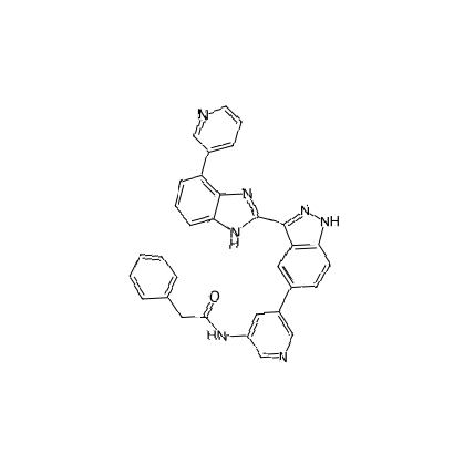 O=C(Cc1ccccc1)Nc1cncc(-c2ccc3[nH]nc(-c4nc5c(-c6cccnc6)cccc5[nH]4)c3c2)c1